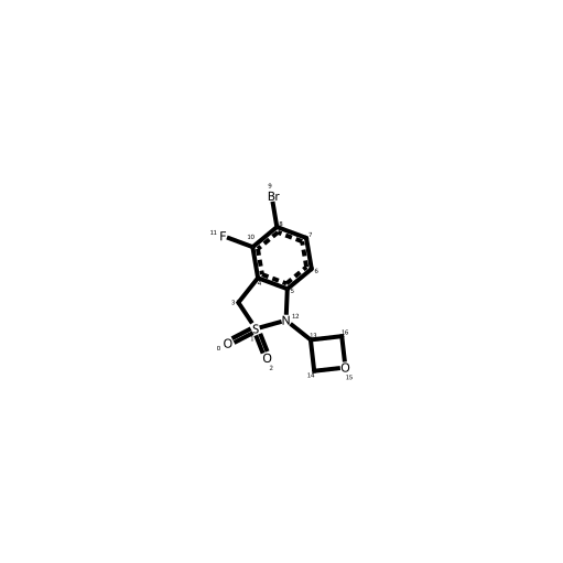 O=S1(=O)Cc2c(ccc(Br)c2F)N1C1COC1